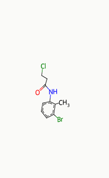 Cc1c(Br)cccc1NC(=O)CCCl